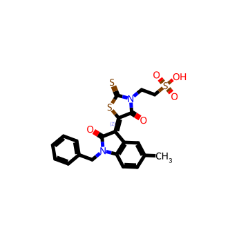 Cc1ccc2c(c1)/C(=C1/SC(=S)N(CCS(=O)(=O)O)C1=O)C(=O)N2Cc1ccccc1